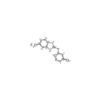 O=c1ccoc(CN2Cc3ccc(C(F)(F)F)cc3C2)c1